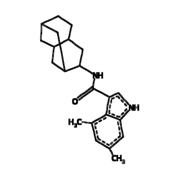 Cc1cc(C)c2c(C(=O)NC3CC4CCC5CC4CC3C5)c[nH]c2c1